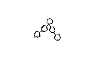 c1ccc(-c2ccc(C3(c4ccc(-c5ccncc5)cc4)CCCCC3)cc2)nc1